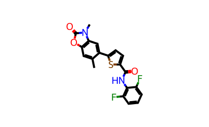 Cc1cc2oc(=O)n(C)c2cc1-c1ccc(C(=O)Nc2c(F)cccc2F)s1